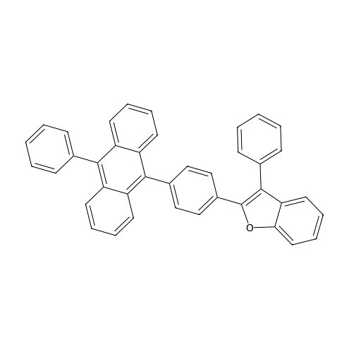 c1ccc(-c2c(-c3ccc(-c4c5ccccc5c(-c5ccccc5)c5ccccc45)cc3)oc3ccccc23)cc1